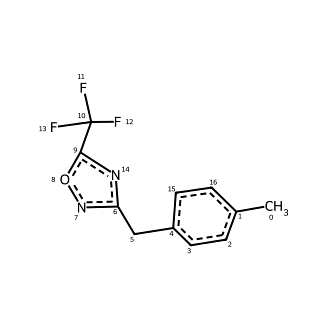 Cc1ccc(Cc2noc(C(F)(F)F)n2)cc1